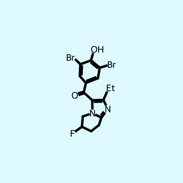 CCc1nc2n(c1C(=O)c1cc(Br)c(O)c(Br)c1)CC(F)CC2